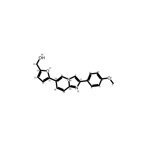 COc1ccc(-c2cn3cc(-c4ccc(CO)o4)ccc3n2)cc1